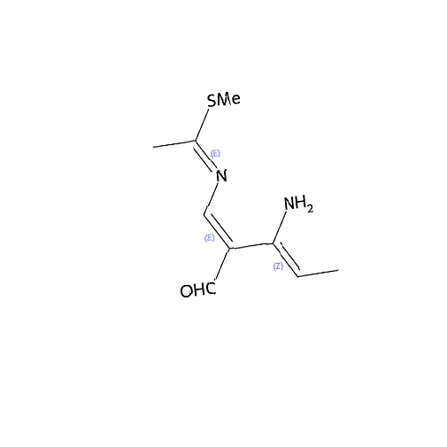 C/C=C(N)/C(C=O)=C\N=C(/C)SC